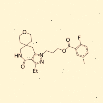 CCc1nn(CCCOC(=O)c2cc(C)ccc2F)c2c1C(=O)NCC1(CCOCC1)C2